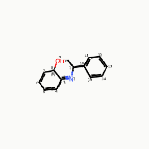 CC(N=C1C=CC=C[C@H]1O)c1ccccc1